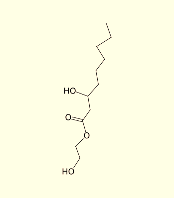 CCCCCCC(O)CC(=O)OCCO